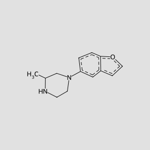 CC1CN(c2ccc3occc3c2)CCN1